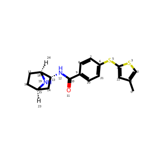 Cc1csc(Sc2ccc(C(=O)N[C@@H]3C[C@H]4CC[C@@H]3N4)cc2)c1